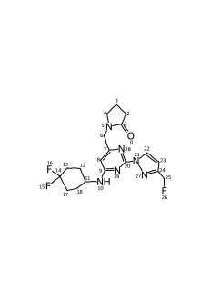 O=C1CCCN1Cc1cc(NC2CCC(F)(F)CC2)nc(-n2ccc(CF)n2)n1